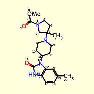 COC(=O)N1CCC(C)(N2CCC(n3c(=O)[nH]c4ccc(C)cc43)CC2)C1